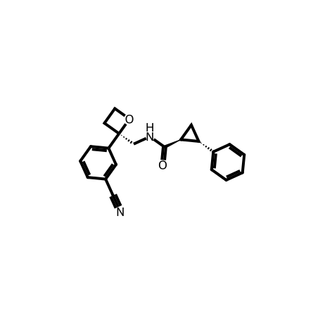 N#Cc1cccc([C@@]2(CNC(=O)[C@H]3C[C@@H]3c3ccccc3)CCO2)c1